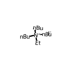 CCCC[N+](CC)(CCCC)CCCC.[I-]